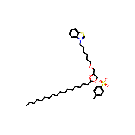 CCCCCCCCCCCCCCCCCC1OCC(COCCCCCC[n+]2csc3ccccc32)O1.Cc1ccc(S(=O)(=O)[O-])cc1